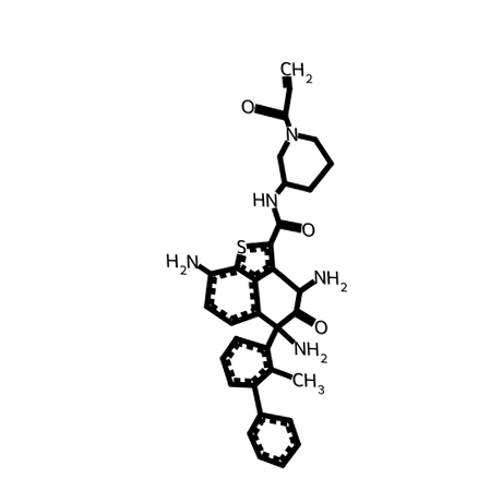 C=CC(=O)N1CCCC(NC(=O)c2sc3c(N)ccc4c3c2C(N)C(=O)C4(N)c2cccc(-c3ccccc3)c2C)C1